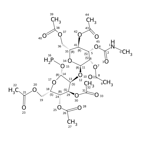 CNC(=O)O[C@@H]1[C@H](OC(C)=O)[C@@H](O[C@@H]2[C@@H](OP)O[C@@H](COC(C)=O)[C@@H](OC(C)=O)[C@@H]2OC(C)=O)O[C@H](COC(C)=O)[C@H]1OC(C)=O